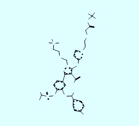 CC(Oc1cc(-c2nn(COCC[Si](C)(C)C)c(Nc3ccn(CCOCC(=O)OC(C)(C)C)n3)c2C(N)=O)ccc1NS(=O)(=O)C(F)F)c1ccc(F)cc1